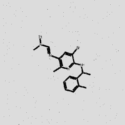 CCN(C)C=Nc1cc(Br)c(NC(C)c2ccccc2C)nc1C